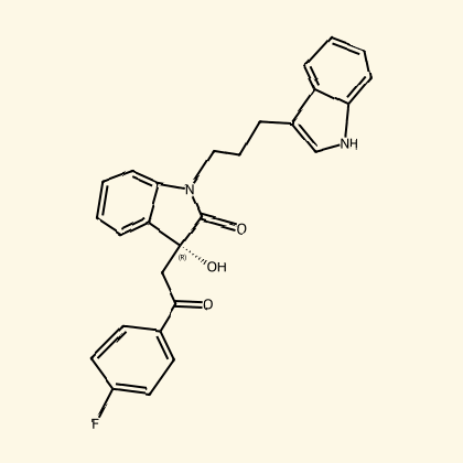 O=C(C[C@]1(O)C(=O)N(CCCc2c[nH]c3ccccc23)c2ccccc21)c1ccc(F)cc1